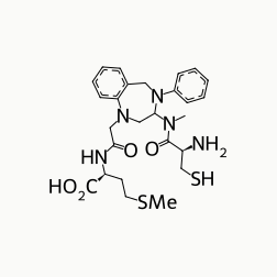 CSCC[C@H](NC(=O)CN1CC(N(C)C(=O)[C@@H](N)CS)N(c2ccccc2)Cc2ccccc21)C(=O)O